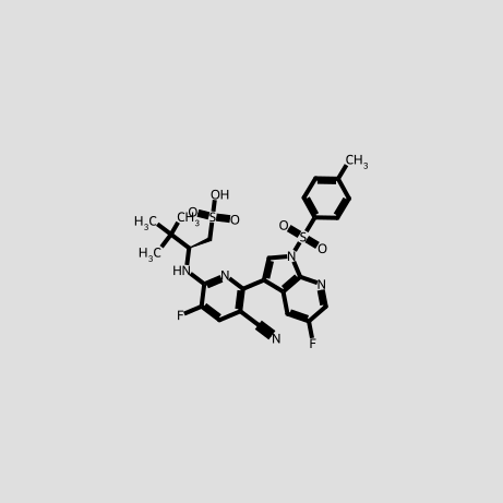 Cc1ccc(S(=O)(=O)n2cc(-c3nc(N[C@H](CS(=O)(=O)O)C(C)(C)C)c(F)cc3C#N)c3cc(F)cnc32)cc1